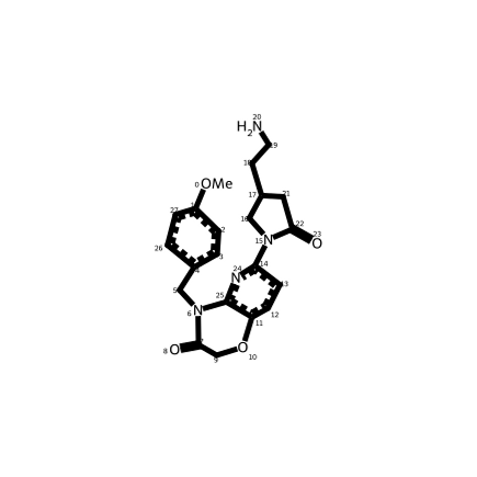 COc1ccc(CN2C(=O)COc3ccc(N4CC(CCN)CC4=O)nc32)cc1